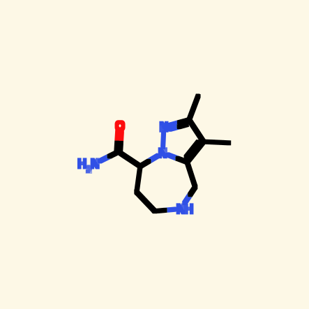 Cc1nn2c(c1C)CNCCC2C(N)=O